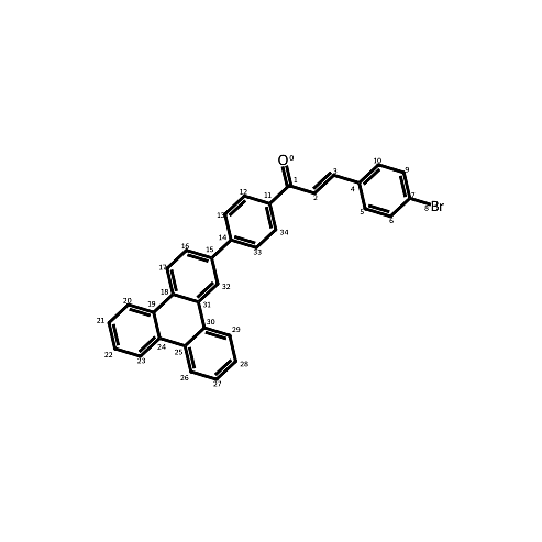 O=C(/C=C/c1ccc(Br)cc1)c1ccc(-c2ccc3c4ccccc4c4ccccc4c3c2)cc1